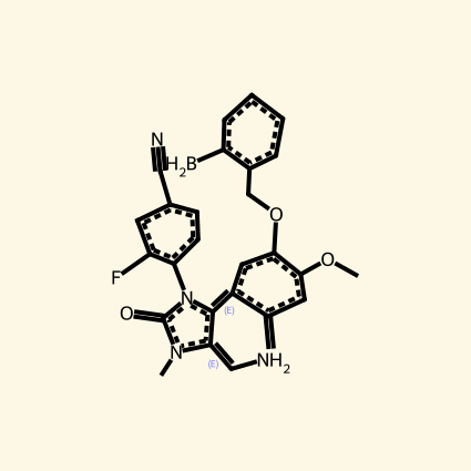 Bc1ccccc1COc1c/c(=c2/c(=C\N)n(C)c(=O)n2-c2ccc(C#N)cc2F)c(=C)cc1OC